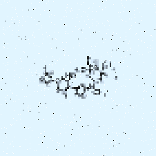 CN(c1nnc(-c2c(O)cc(-c3cn[nH]c3)cc2F)s1)C1CC(C)(C)NC(C)(C)C1